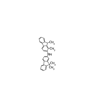 Cc1c(Nc2ccc3c(c2)C(C)(C)c2ccccc2-3)ccc2c1C(C)c1ccccc1-2